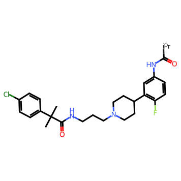 CC(C)C(=O)Nc1ccc(F)c(C2CCN(CCCNC(=O)C(C)(C)c3ccc(Cl)cc3)CC2)c1